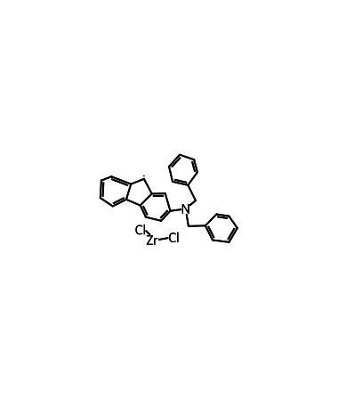 [CH]1c2ccccc2-c2ccc(N(Cc3ccccc3)Cc3ccccc3)cc21.[Cl][Zr][Cl]